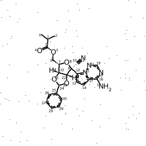 CC(C)C(=O)OC[C@H]1O[C@@](C#N)(c2ccc3c(N)ncnn23)[C@@H]2OC(c3ccccc3)O[C@@H]21